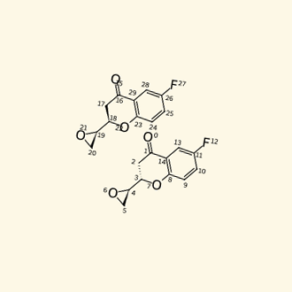 O=C1C[C@@H]([C@H]2CO2)Oc2ccc(F)cc21.O=C1C[C@H]([C@H]2CO2)Oc2ccc(F)cc21